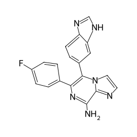 Nc1nc(-c2ccc(F)cc2)c(-c2ccc3nc[nH]c3c2)n2ccnc12